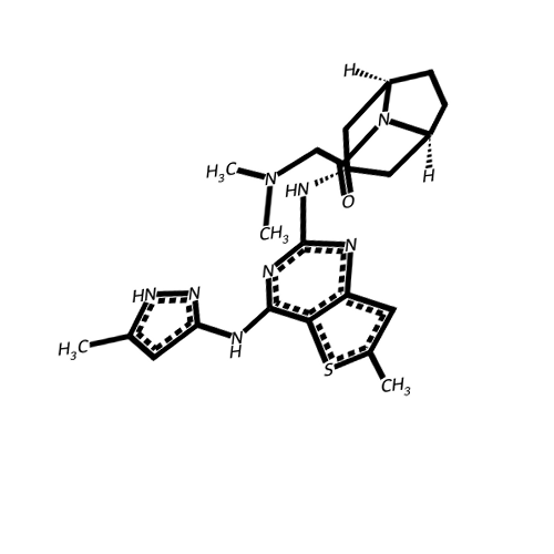 Cc1cc(Nc2nc(N[C@@H]3C[C@H]4CC[C@@H](C3)N4C(=O)CN(C)C)nc3cc(C)sc23)n[nH]1